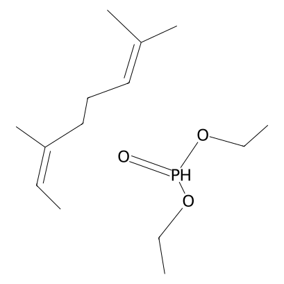 CC=C(C)CCC=C(C)C.CCO[PH](=O)OCC